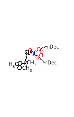 CCCCCCCCCCCCCC(=O)OCCN(CCOC(=O)CCCCCCCCCCCCC)C(=O)C=C(C)C=CC=C(C)C=CC1=C(C)CCCC1(C)C